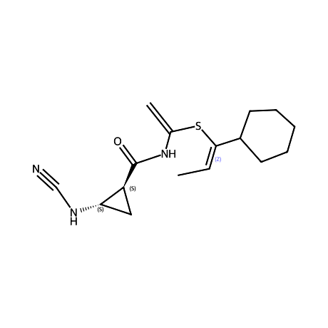 C=C(NC(=O)[C@H]1C[C@@H]1NC#N)S/C(=C\C)C1CCCCC1